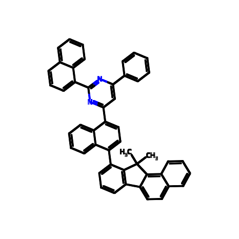 CC1(C)c2c(cccc2-c2ccc(-c3cc(-c4ccccc4)nc(-c4cccc5ccccc45)n3)c3ccccc23)-c2ccc3ccccc3c21